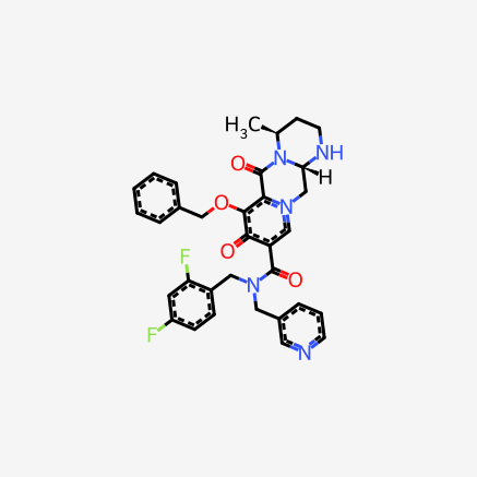 C[C@H]1CCN[C@@H]2Cn3cc(C(=O)N(Cc4cccnc4)Cc4ccc(F)cc4F)c(=O)c(OCc4ccccc4)c3C(=O)N12